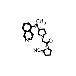 CN(c1cccc2cnccc12)[C@H]1CCN(CC(=O)N2CCC[C@H]2C#N)C1